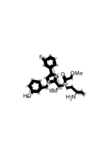 COCC(=O)N(CC[C@@H](N)CF)[C@@H](c1nc(-c2cccc(F)c2)cn1Cc1cccc(O)c1)C(C)(C)C